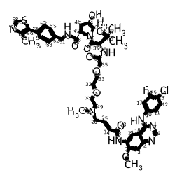 COc1cc2ncnc(Nc3ccc(Cl)c(F)c3)c2cc1NC(=O)/C=C/CN(C)CCOCCOCC(=O)N[C@H](C(=O)N1C[C@H](O)C[C@H]1C(=O)NCc1ccc(-c2scnc2C)cc1)C(C)(C)C